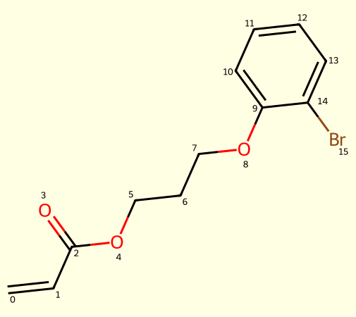 C=CC(=O)OCCCOc1ccccc1Br